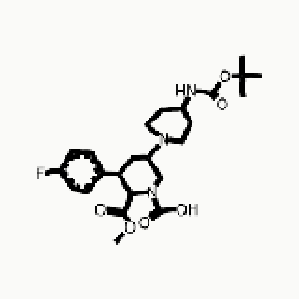 COC(=O)C1C(c2ccc(F)cc2)CC(N2CCC(NC(=O)OC(C)(C)C)CC2)CN1C(=O)O